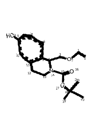 CCOCC1c2ccc(O)cc2CCN1C(=O)OC(C)(C)C